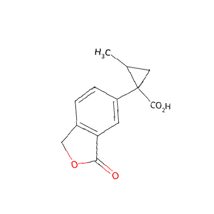 CC1CC1(C(=O)O)c1ccc2c(c1)C(=O)OC2